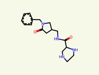 O=C(NCC1CC(=O)N(Cc2ccccc2)C1)C1CNCCN1